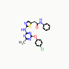 Cc1nc(Nc2ncc(CC(=O)Nc3ccccc3)s2)nc(Oc2ccc(Cl)cc2)n1